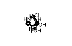 O=C(O)C(F)(F)F.Oc1cc2cc(c1)Nc1nc(ncc1Cl)Nc1cccc(c1)CC2